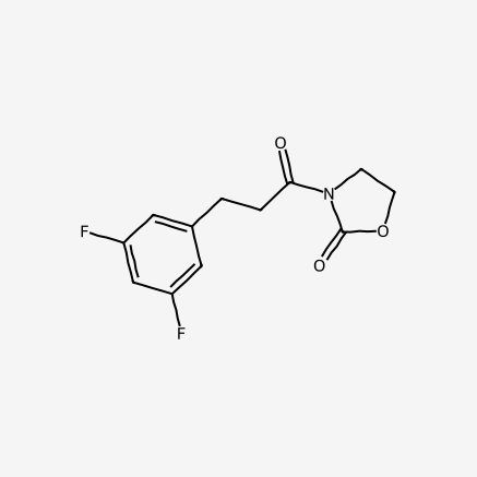 O=C(CCc1cc(F)cc(F)c1)N1CCOC1=O